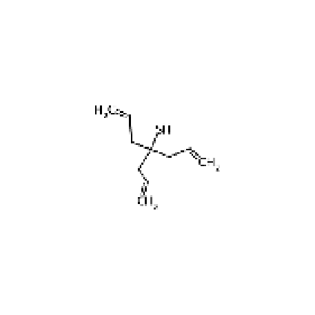 C=CCC(S)(CC=C)CC=C